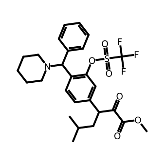 COC(=O)C(=O)C(CC(C)C)c1ccc(C(c2ccccc2)N2CCCCC2)c(OS(=O)(=O)C(F)(F)F)c1